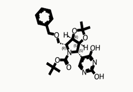 CC(C)(C)OC(=O)N1[C@H](COCc2ccccc2)[C@H]2OC(C)(C)O[C@H]2[C@@H]1c1cnc(O)nc1O